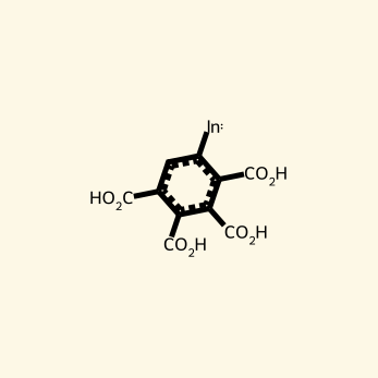 O=C(O)c1c[c]([In])c(C(=O)O)c(C(=O)O)c1C(=O)O